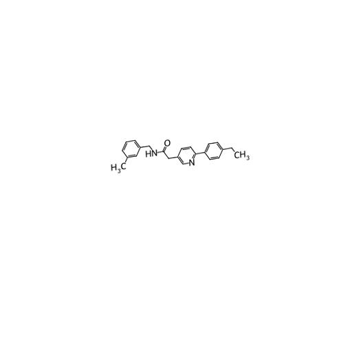 CCc1ccc(-c2ccc(CC(=O)NCc3cccc(C)c3)cn2)cc1